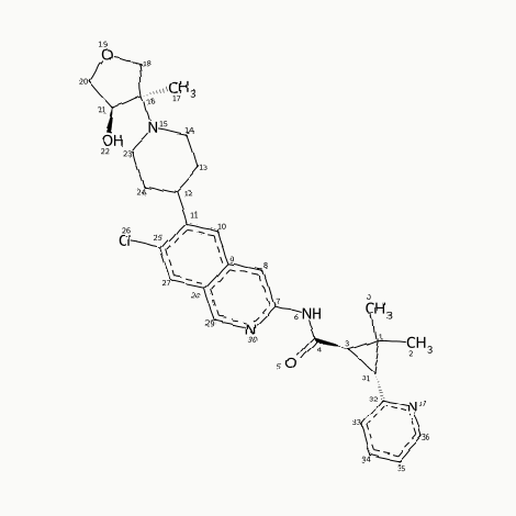 CC1(C)[C@H](C(=O)Nc2cc3cc(C4CCN([C@]5(C)COC[C@@H]5O)CC4)c(Cl)cc3cn2)[C@H]1c1ccccn1